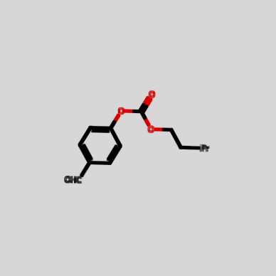 CC(C)CCOC(=O)Oc1ccc(C=O)cc1